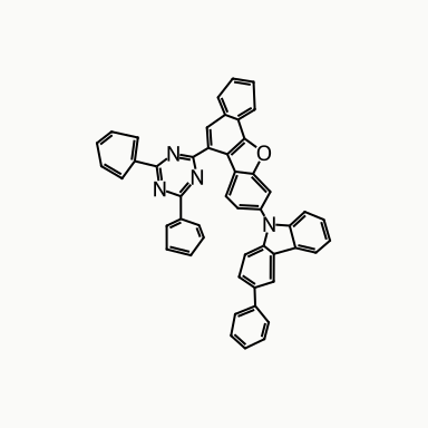 c1ccc(-c2ccc3c(c2)c2ccccc2n3-c2ccc3c(c2)oc2c4ccccc4cc(-c4nc(-c5ccccc5)nc(-c5ccccc5)n4)c32)cc1